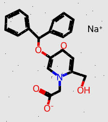 O=C([O-])Cn1cc(OC(c2ccccc2)c2ccccc2)c(=O)cc1CO.[Na+]